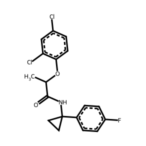 CC(Oc1ccc(Cl)cc1Cl)C(=O)NC1(c2ccc(F)cc2)CC1